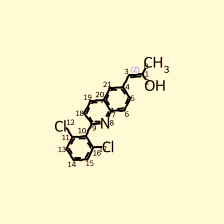 C/C(O)=C/c1ccc2nc(-c3c(Cl)cccc3Cl)ccc2c1